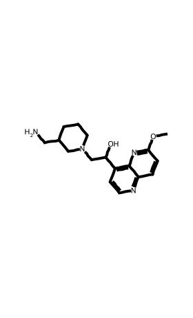 COc1ccc2nccc(C(O)CN3CCCC(CN)C3)c2n1